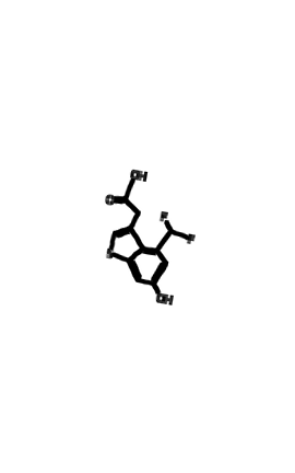 O=C(O)Cc1csc2cc(O)cc(C(F)F)c12